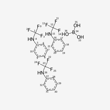 FC(F)(F)Nc1ccccc1.FC(F)(F)Nc1ccccc1.FC(F)(F)Nc1ccccc1.OB(O)O